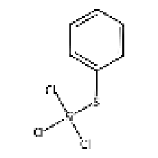 Cl[Si](Cl)(Cl)Sc1ccccc1